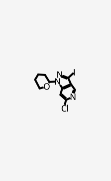 Clc1cc2c(cn1)c(I)nn2C1CCCCO1